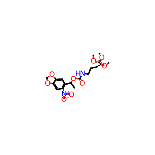 CO[Si](CCCNC(=O)OC(C)c1cc2c(cc1[N+](=O)[O-])OCO2)(OC)OC